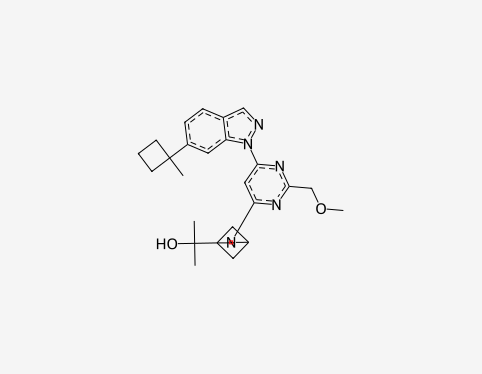 COCc1nc(N2CC3(C(C)(C)O)CC2C3)cc(-n2ncc3ccc(C4(C)CCC4)cc32)n1